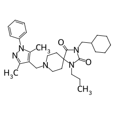 CCCN1C(=O)N(CC2CCCCC2)C(=O)C12CCN(Cc1c(C)nn(-c3ccccc3)c1C)CC2